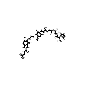 COc1cc2c(c(F)c1OCCCOc1c(OC)cc3sc(C(=O)CCC(=O)O[C@@H](C)CNC(=O)[C@H](CN)N4C(=O)C=CC4=O)cc3c1F)CN(C(=O)CCC(=O)O)C2